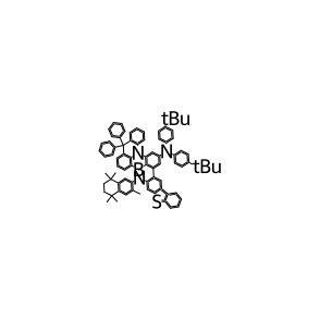 Cc1cc2c(cc1N1B3c4cccc5c4N(c4ccccc4C5(c4ccccc4)c4ccccc4)c4cc(N(c5ccc(C(C)(C)C)cc5)c5ccc(C(C)(C)C)cc5)cc(c43)-c3cc4c(cc31)sc1ccccc14)C(C)(C)CCC2(C)C